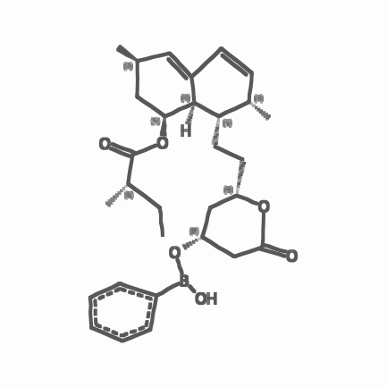 CC[C@H](C)C(=O)O[C@H]1C[C@@H](C)C=C2C=C[C@H](C)[C@H](CC[C@H]3C[C@@H](OB(O)c4ccccc4)CC(=O)O3)[C@H]21